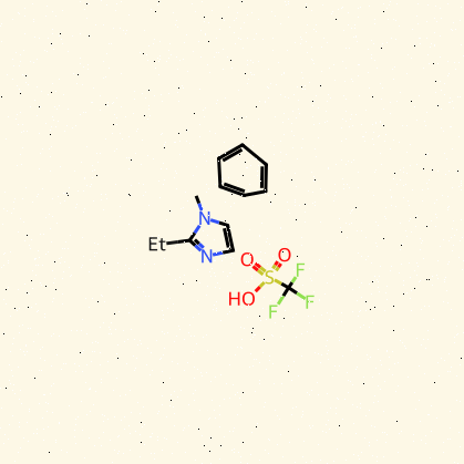 CCc1nccn1C.O=S(=O)(O)C(F)(F)F.c1ccccc1